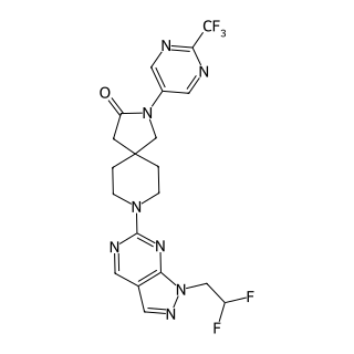 O=C1CC2(CCN(c3ncc4cnn(CC(F)F)c4n3)CC2)CN1c1cnc(C(F)(F)F)nc1